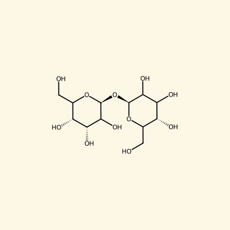 OCC1O[C@@H](O[C@@H]2OC(CO)[C@@H](O)[C@@H](O)C2O)C(O)C(O)[C@@H]1O